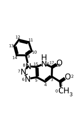 CC(=O)c1cc2nnn(-c3ccccc3)c2[nH]c1=O